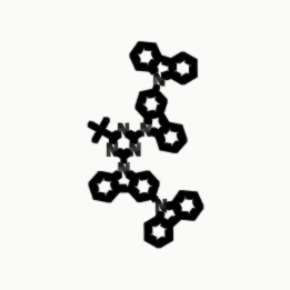 CC(C)(C)c1nc(-n2c3ccccc3c3cc(-n4c5ccccc5c5ccccc54)ccc32)nc(-n2c3ccccc3c3cc(-n4c5ccccc5c5ccccc54)ccc32)n1